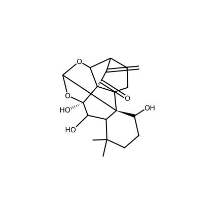 C=C1C(=O)[C@@]23C4OC5O[C@]2(O)C(O)C2C(C)(C)CCC(O)[C@]52C3CCC14